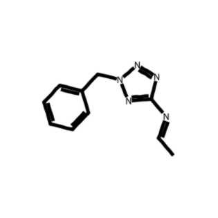 CC=Nc1nnn(Cc2ccccc2)n1